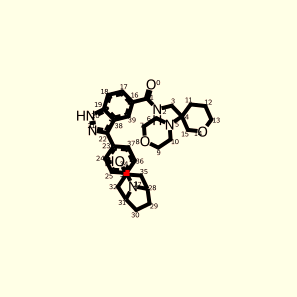 O=C(NCC1(N2CCOCC2)CCCOC1)c1ccc2[nH]nc(-c3ccc(N4C5CCC4CC(O)C5)cc3)c2c1